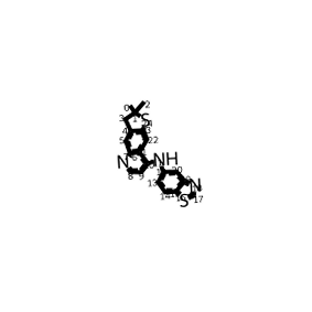 CC1(C)Cc2cc3nccc(Nc4ccc5scnc5c4)c3cc2S1